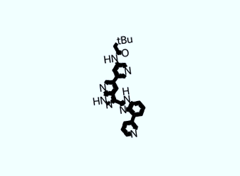 CC(C)(C)CC(=O)Nc1cncc(-c2cnc3[nH]nc(-c4nc5c(-c6cccnc6)cccc5[nH]4)c3c2)c1